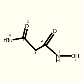 CC(C)(C)C(=O)CC(=O)NO